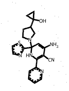 N#CC1=C(c2ccccn2)NC(c2nccs2)(N2CCC(C3(O)CC3)C2)C=C1N